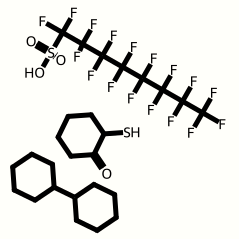 C1CCC(C2CCCCC2)CC1.O=C1CCCCC1S.O=S(=O)(O)C(F)(F)C(F)(F)C(F)(F)C(F)(F)C(F)(F)C(F)(F)C(F)(F)C(F)(F)F